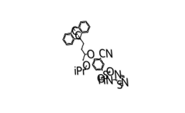 CC(C)OCC(CCC12CCC(c3ccccc31)c1ccccc12)Oc1ccc(S(=O)(=O)Nc2ncns2)cc1C#N